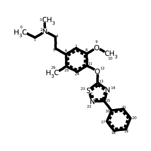 CCN(C)CCc1cc(OC)c(Oc2nc(-c3ccccc3)ns2)cc1C